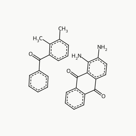 Cc1cccc(C(=O)c2ccccc2)c1C.Nc1ccc2c(c1N)C(=O)c1ccccc1C2=O